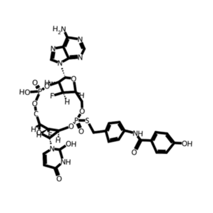 Nc1ncnc2c1ncn2[C@@H]1O[C@@H]2COP(=O)(SCc3ccc(NC(=O)c4ccc(O)cc4)cc3)O[C@@H]3[C@H](F)[C@@H](COP(=O)(O)O[C@@H]1[C@@H]2F)O[C@H]3N1C=CC(=O)NC1O